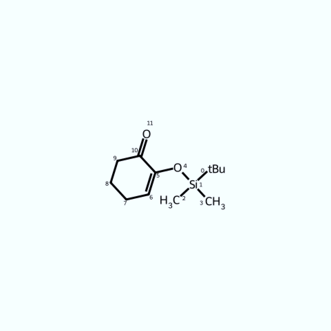 CC(C)(C)[Si](C)(C)OC1=CCCCC1=O